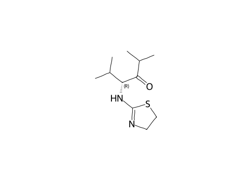 CC(C)C(=O)[C@H](NC1=NCCS1)C(C)C